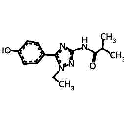 CCn1nc(NC(=O)C(C)C)nc1-c1ccc(O)cc1